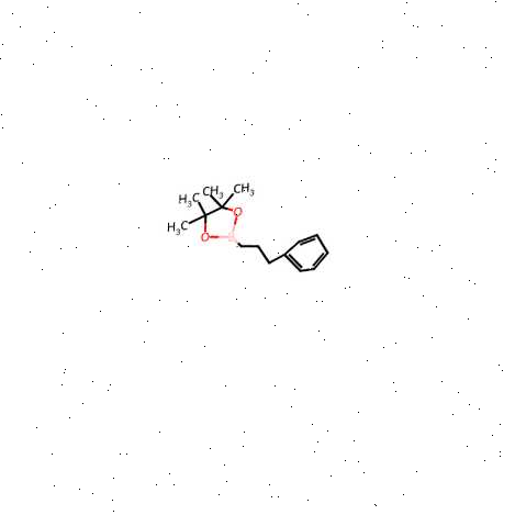 CC1(C)OB([CH]CCc2ccccc2)OC1(C)C